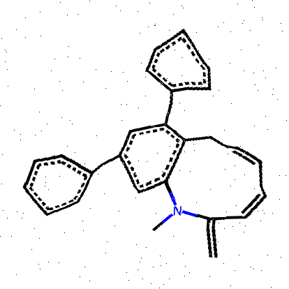 C=C1/C=C\C=C/Cc2c(-c3ccccc3)cc(-c3ccccc3)cc2N1C